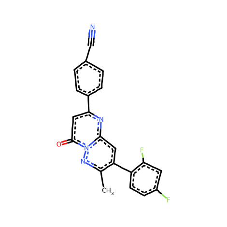 Cc1nn2c(=O)cc(-c3ccc(C#N)cc3)nc2cc1-c1ccc(F)cc1F